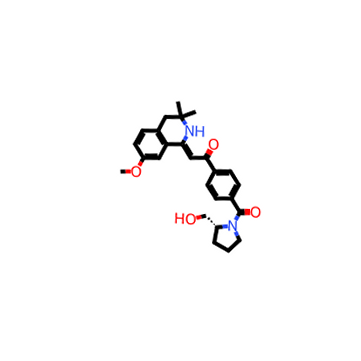 COc1ccc2c(c1)C(=CC(=O)c1ccc(C(=O)N3CCC[C@@H]3CO)cc1)NC(C)(C)C2